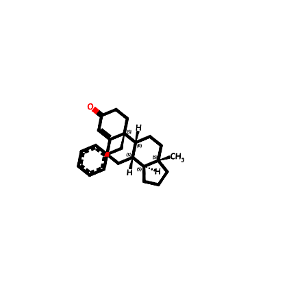 C[C@@]12CCC[C@H]1[C@@H]1CCC3=CC(=O)CC[C@]3(Cc3ccccc3)[C@@H]1CC2